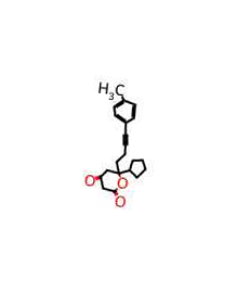 Cc1ccc(C#CCCC2(C3CCCC3)CC(=O)CC(=O)O2)cc1